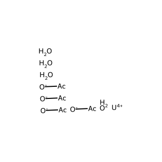 CC(=O)[O-].CC(=O)[O-].CC(=O)[O-].CC(=O)[O-].O.O.O.O.[U+4]